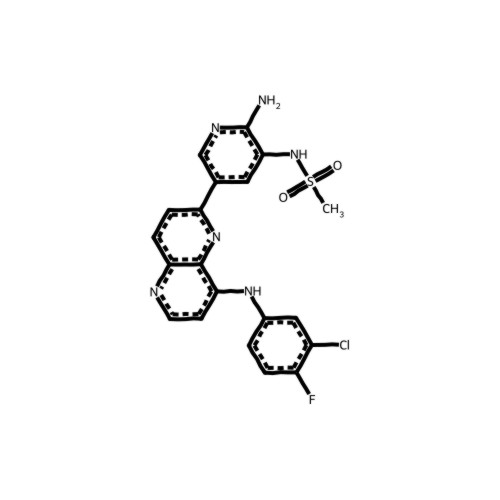 CS(=O)(=O)Nc1cc(-c2ccc3nccc(Nc4ccc(F)c(Cl)c4)c3n2)cnc1N